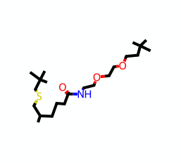 CC(CCCC(=O)NCCOCCOCCC(C)(C)C)CSCC(C)(C)C